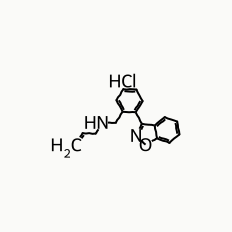 C=CCNCc1ccccc1-c1noc2ccccc12.Cl